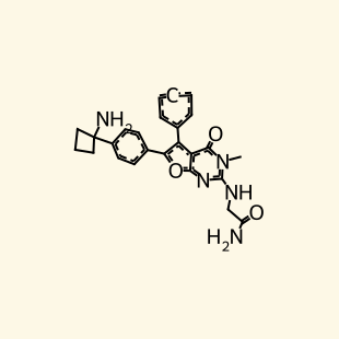 Cn1c(NCC(N)=O)nc2oc(-c3ccc(C4(N)CCC4)cc3)c(-c3ccccc3)c2c1=O